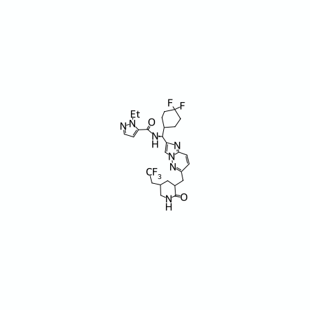 CCn1nccc1C(=O)N[C@H](c1cn2nc(CC3CC(CC(F)(F)F)CNC3=O)ccc2n1)C1CCC(F)(F)CC1